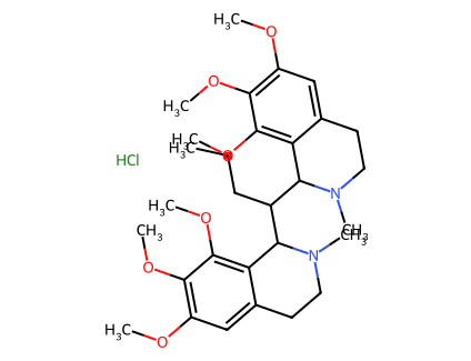 CCCC(C1c2c(cc(OC)c(OC)c2OC)CCN1C)C1c2c(cc(OC)c(OC)c2OC)CCN1C.Cl